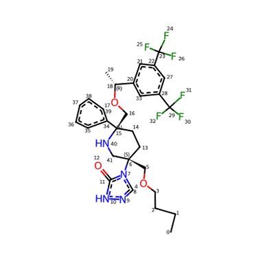 CCCCOC[C@]1(n2cn[nH]c2=O)CC[C@@](CO[C@H](C)c2cc(C(F)(F)F)cc(C(F)(F)F)c2)(c2ccccc2)NC1